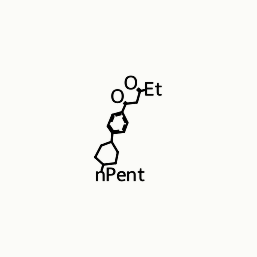 CCCCCC1CCC(c2ccc(C(=O)CC(=O)CC)cc2)CC1